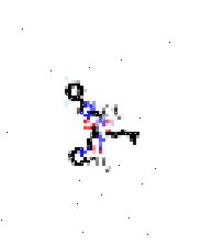 C[C@H](NC(=O)[C@H](CC(=O)N1CCCC[C@@H]1C)NC(=O)CCC1CC1)c1ncc(-c2ccc(F)cc2F)[nH]1